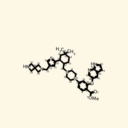 COC(=O)c1ccc(N2CCN(CC3CCC(C)(C)CC3c3cc(CN4CC5(CNC5)C4)cs3)CC2)cc1Oc1cnc2[nH]ccc2c1